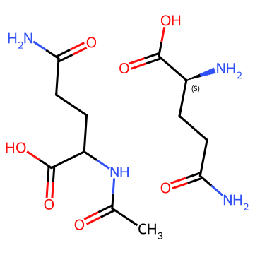 CC(=O)NC(CCC(N)=O)C(=O)O.NC(=O)CC[C@H](N)C(=O)O